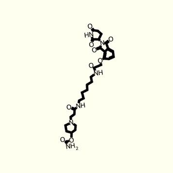 NC(=O)OC1CCN(CCC(=O)NCCCCCCCNC(=O)COc2cccc3c2C(=O)N(C2CCC(=O)NC2=O)C3=O)CC1